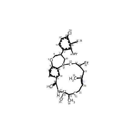 CCCc1c(C2COc3ccc4cc3N(CCC(CC)C/C(C)=C/CCC(C)[S+]([O-])NC4=O)C2)ccc(Cl)c1F